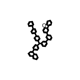 c1ccc(-c2ccc(-c3ccc(C(c4ccc(-c5cccc6ccccc56)cc4)c4cccc(-c5cccc(-c6ccc7oc8ccccc8c7c6)c5)c4)cc3)cc2)cc1